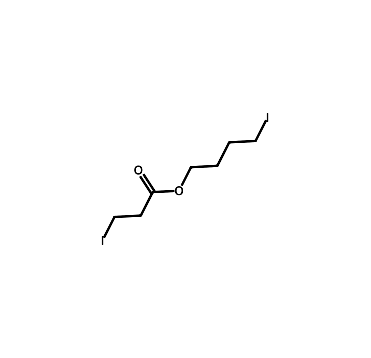 O=C(CCI)OCCCCI